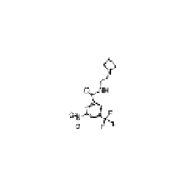 O=C(NCCN1CCC1)c1cc([N+](=O)[O-])cc(C(F)(F)F)c1